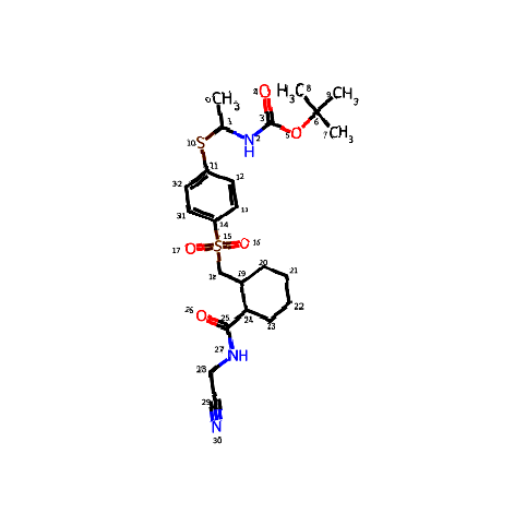 CC(NC(=O)OC(C)(C)C)Sc1ccc(S(=O)(=O)CC2CCCCC2C(=O)NCC#N)cc1